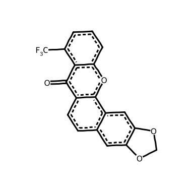 O=c1c2ccc3cc4c(cc3c2oc2cccc(C(F)(F)F)c12)OCO4